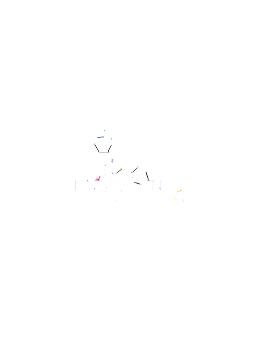 NC(=O)[C@@H]1C[C@@H](F)CC[C@H]1c1nc(-c2cncc(F)c2)sc1-c1ccc(N2CCS(=O)(=O)CC2)cc1